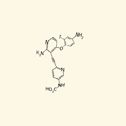 Nc1ccc(Oc2ccnc(N)c2C#Cc2ccc(NC(=O)O)cn2)c(F)c1